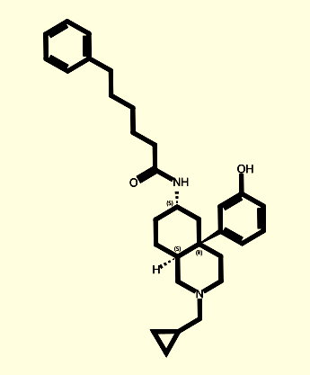 O=C(CCCCCc1ccccc1)N[C@H]1CC[C@@H]2CN(CC3CC3)CC[C@@]2(c2cccc(O)c2)C1